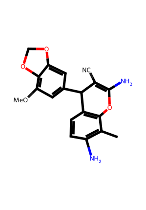 COc1cc(C2C(C#N)=C(N)Oc3c2ccc(N)c3C)cc2c1OCO2